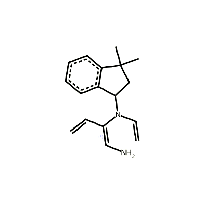 C=C/C(=C/N)N(C=C)C1CC(C)(C)c2ccccc21